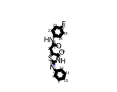 O=C(CC1S/C(=N/c2ccccc2)NC1=O)Nc1ccc(F)cc1